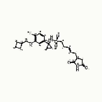 O=C1CC(C/C=C/CCS(=O)(=O)NC2(c3ccc(F)c(OCC4CCC4)c3)CC2)C(=O)N1